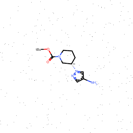 CC(C)(C)OC(=O)N1CCC[C@H](n2cc(N)cn2)C1